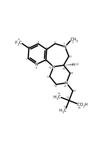 CN1Cc2cc(C(F)(F)F)cnc2N2CCN(CC(C)(C)C(=O)O)C[C@@H]2C1